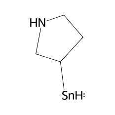 [SnH][CH]1CCNC1